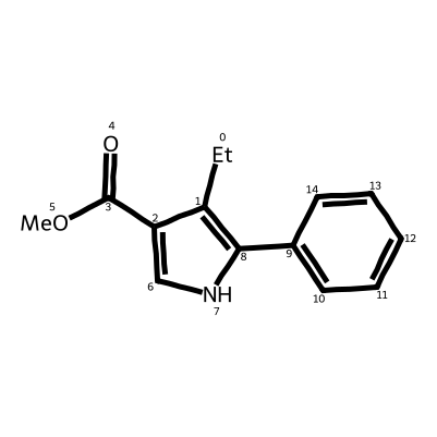 CCc1c(C(=O)OC)c[nH]c1-c1ccccc1